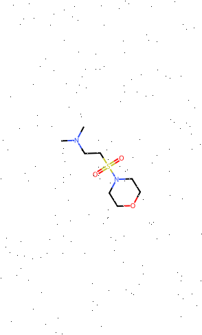 CN(C)CCS(=O)(=O)N1CCOCC1